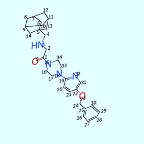 O=C(CNCC12CC3CC(CC(C3)C1)C2)N1CCN(c2ccc(OCc3ccccc3)cn2)CC1